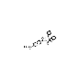 CCOC(=O)C1CCC2(CC1)CCN(C(=O)CNC(=O)c1nc3ccccc3n1Cc1ccccc1)CC2